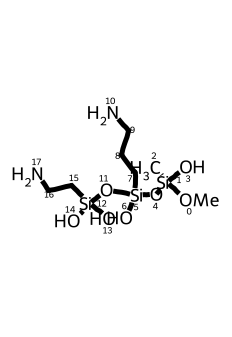 CO[Si](C)(O)O[Si](O)(CCCN)O[Si](O)(O)CCN